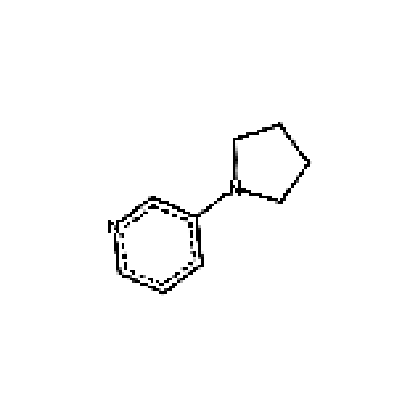 c1cncc(N2CCCC2)c1